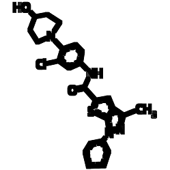 Cc1nn(-c2ccccc2)c2sc(C(=O)Nc3ccc(N4CCC(O)CC4)c(Cl)c3)cc12